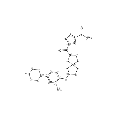 CNC(=O)c1cnn(C(=O)N2CCC3(CCN(Cc4ccc(N5CCOCC5)cc4C(F)(F)F)C3)C2)c1